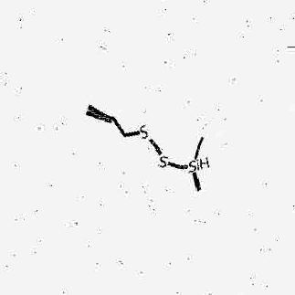 C=CCSS[SiH](C)C